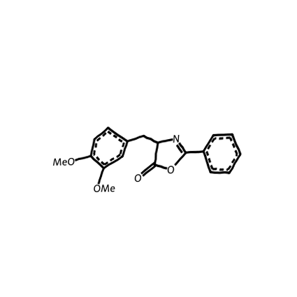 COc1ccc(CC2N=C(c3ccccc3)OC2=O)cc1OC